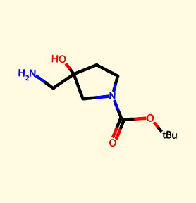 CC(C)(C)OC(=O)N1CCC(O)(CN)C1